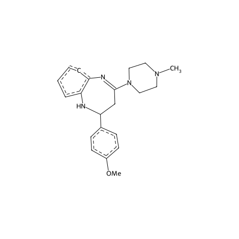 COc1ccc(C2CC(N3CCN(C)CC3)=Nc3ccccc3N2)cc1